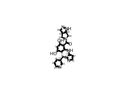 O=C(c1c(O)cc(O)cc1Nc1ccnn1Cc1cccnc1)N1Cc2cn[nH]c2C1